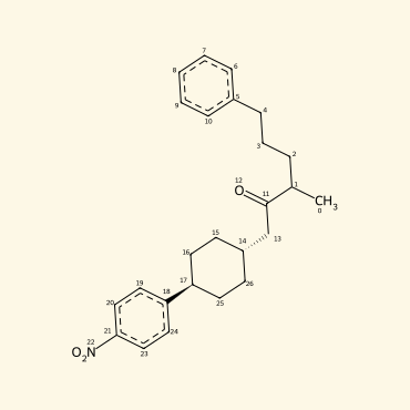 CC(CCCc1ccccc1)C(=O)C[C@H]1CC[C@H](c2ccc([N+](=O)[O-])cc2)CC1